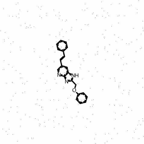 C(=Cc1cnc2nc(COc3ccccc3)[nH]c2c1)c1ccccc1